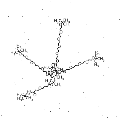 CC(C)(C)CCNC(=O)CCOCCCCOC(C)(C)CN(CCOCCOCCCCOCCOCCOC(C)(C)C)C(C)(C)N(CCOCCOCCCOCCOCCOC(C)(C)C)C(C)(C)N(CCOCCOCCOCCOCCOCCOC(C)(C)C)C(C)(C)C